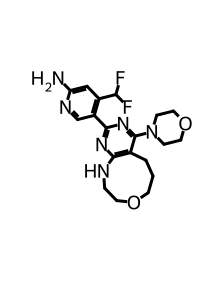 Nc1cc(C(F)F)c(-c2nc3c(c(N4CCOCC4)n2)CCCOCCN3)cn1